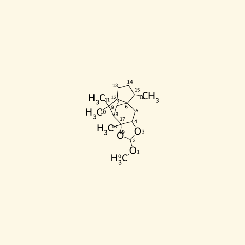 COC1OC2CC34CC(C(C)(C)C3CCC4C)C2(C)O1